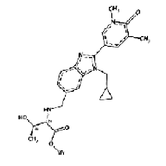 Cc1cc(-c2nc3ccc(CN[C@H](C(=O)OC(C)C)[C@@H](C)O)cc3n2CC2CC2)cn(C)c1=O